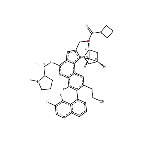 C[C@H](Oc1nc2c(F)c(-c3cccc4ccc(F)c(F)c34)c(CCC#N)cc2c2c1cc(CCC(=O)N1CCC1)n2[C@H]1[C@H]2CN[C@@H]1C2)C1CCCN1C